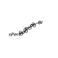 CCCCCC(=O)Oc1ccc(C(=O)Oc2ccc(CC(=O)c3ccc(OC(=O)CCCCCBr)cc3)cc2C)cc1